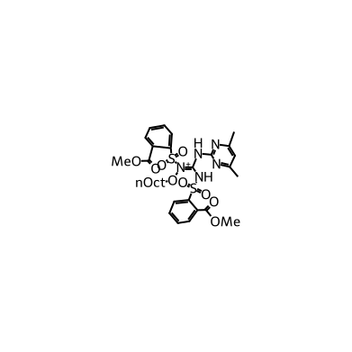 CCCCCCCCO[N+](=C(Nc1nc(C)cc(C)n1)NS(=O)(=O)c1ccccc1C(=O)OC)S(=O)(=O)c1ccccc1C(=O)OC